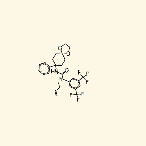 C=CCC[C@H](C(=O)NC1(c2ccccc2)CCC2(CC1)OCCO2)c1cc(C(F)(F)F)cc(C(F)(F)F)c1